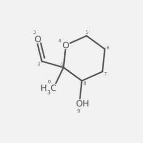 CC1(C=O)OCCCC1O